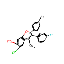 CC1=C(c2ccc(F)cc2)[C@H](c2ccc(C(C)C)cc2)Oc2cc(O)c(Cl)cc21